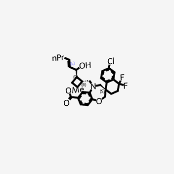 CCC/C=C/C(O)[C@@H]1CC[C@H]1CN1C[C@@]2(CCC(F)(F)c3cc(Cl)ccc32)COc2ccc(C(=O)OC)cc21